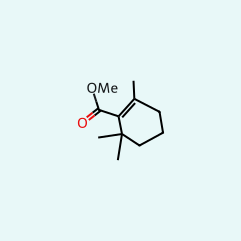 COC(=O)C1=C(C)CCCC1(C)C